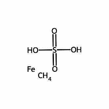 C.O=S(=O)(O)O.[Fe]